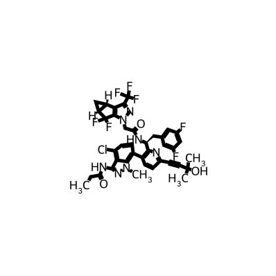 CCC(=O)Nc1nn(C)c2c(-c3ccc(C#CC(C)(C)O)nc3[C@H](Cc3cc(F)cc(F)c3)NC(=O)Cn3nc(C(F)(F)F)c4c3C(F)(F)[C@@H]3C[C@H]43)ccc(Cl)c12